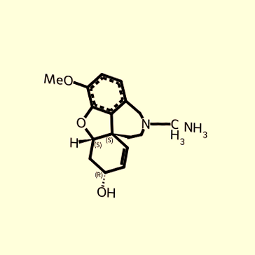 COc1ccc2c3c1O[C@H]1C[C@@H](O)C=C[C@@]31CCN(C)C2.N